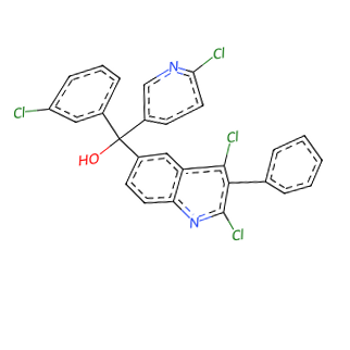 OC(c1ccc(Cl)nc1)(c1cccc(Cl)c1)c1ccc2nc(Cl)c(-c3ccccc3)c(Cl)c2c1